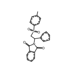 Cc1ccc(S(=O)(=O)CC(c2ccccc2)N2C(=O)c3ccccc3C2=O)cc1